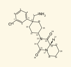 NCC1(c2cccc(Cl)c2)CCC(N2CC(=O)N3CCCC[C@H]3C2=O)CC1